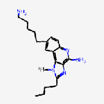 [2H]n1c(CCCC)nc2c(N)nc3ccc(CCCCCN)cc3c21